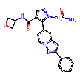 Cn1ncc(C(=O)NC2COC2)c1-c1ccn2nc(-c3ccccc3)nc2c1.NC=O